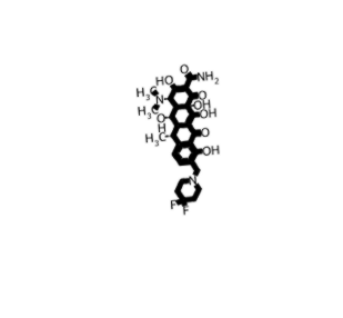 C[C@H]1c2ccc(CN3CCC(F)(F)CC3)c(O)c2C(=O)C2=C(O)[C@]3(O)C(=O)C(C(N)=O)=C(O)[C@@H](N(C)C)C3[C@@H](O)C21